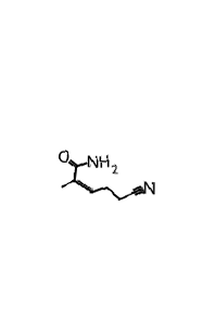 CC(=CCCC#N)C(N)=O